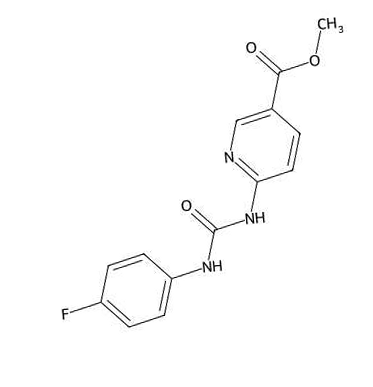 COC(=O)c1ccc(NC(=O)Nc2ccc(F)cc2)nc1